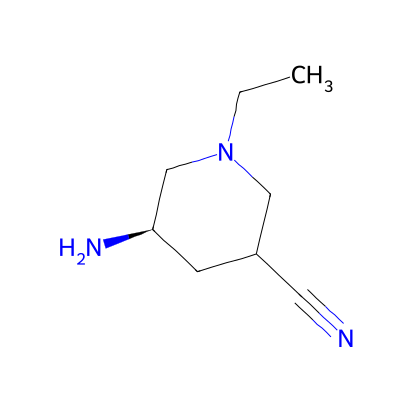 CCN1CC(C#N)C[C@@H](N)C1